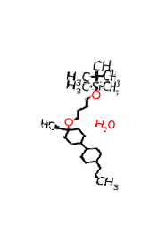 C#CC1(OCCCCO[Si](C)(C)C(C)(C)C)CCC(C2CCC(CCC)CC2)CC1.O